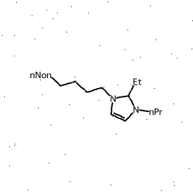 CCCCCCCCCCCCCN1C=CN(CCC)C1CC